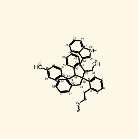 CSCCc1ccccc1C(Cc1ccccc1)([C](CO)Cc1c[nH]c2ccccc12)C(Cc1ccc(O)cc1)c1ccccc1